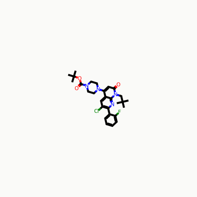 CC(C)(C)Cn1c(=O)cc(N2CCN(C(=O)OC(C)(C)C)CC2)c2cc(Cl)c(-c3ccccc3F)nc21